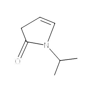 CC(C)N1C=CCC1=O